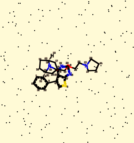 c1ccc(-c2csc3ncnc(N4[C@@H]5CC[C@H]4CC(COCCN4CCCC4)C5)c23)cc1